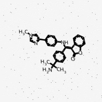 Cn1cnc(-c2ccc(NC(=C3C(=O)Oc4ccccc43)c3ccc(C(C)(C)N)cc3)cc2)c1